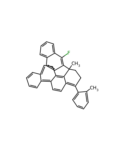 Cc1ccccc1C1=c2ccc3c(c2C(C)(c2ccc4ccccc4c2F)CC1)CC=c1ccccc1=3